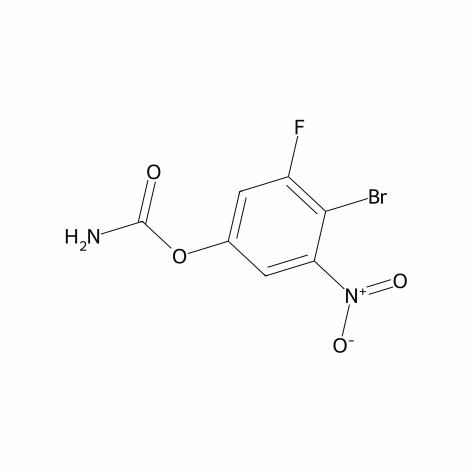 NC(=O)Oc1cc(F)c(Br)c([N+](=O)[O-])c1